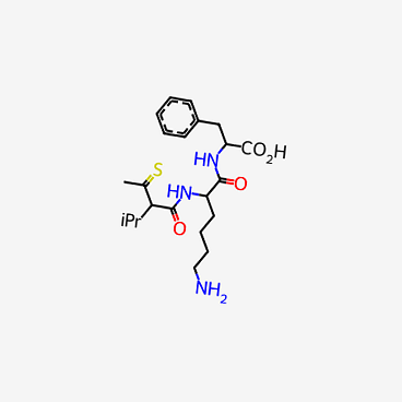 CC(=S)C(C(=O)NC(CCCCN)C(=O)NC(Cc1ccccc1)C(=O)O)C(C)C